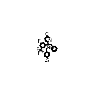 CSc1ccc(CNC(Cc2ccccc2)(c2cc(F)cc(C(F)(F)F)c2)c2ccc(Cl)cn2)cc1